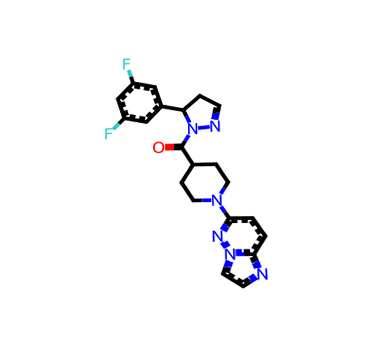 O=C(C1CCN(c2ccc3nccn3n2)CC1)N1N=CCC1c1cc(F)cc(F)c1